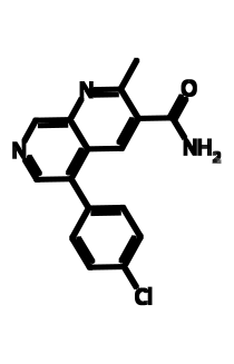 Cc1nc2cncc(-c3ccc(Cl)cc3)c2cc1C(N)=O